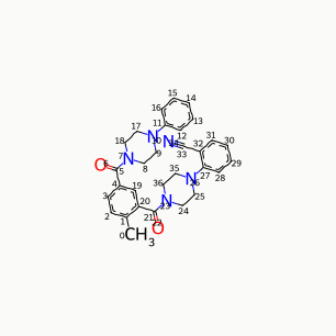 Cc1ccc(C(=O)N2CCN(c3ccccc3)CC2)cc1C(=O)N1CCN(c2ccccc2C#N)CC1